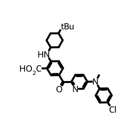 CN(c1ccc(Cl)cc1)c1ccc(C(=O)c2ccc(NC3CCC(C(C)(C)C)CC3)c(C(=O)O)c2)nc1